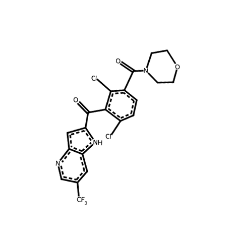 O=C(c1cc2ncc(C(F)(F)F)cc2[nH]1)c1c(Cl)ccc(C(=O)N2CCOCC2)c1Cl